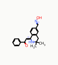 CC1(C)Cc2cc(/C=N/O)ccc2/C(=C/C(=O)c2ccccc2)N1